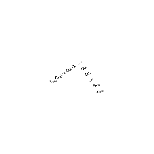 [Fe+3].[Fe+3].[O-2].[O-2].[O-2].[O-2].[O-2].[O-2].[O-2].[Sn+4].[Sn+4]